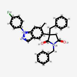 Cc1cc2c(cnn2-c2ccc(F)cc2)cc1C1(Cc2ccccc2)CC(=O)N(Cc2ccccc2)C1=O